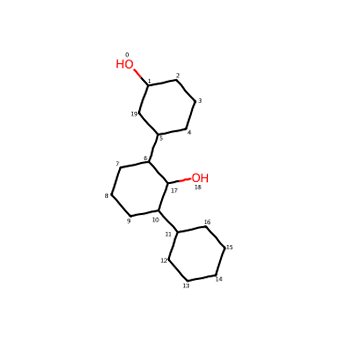 OC1CCCC(C2CCCC(C3CCCCC3)C2O)C1